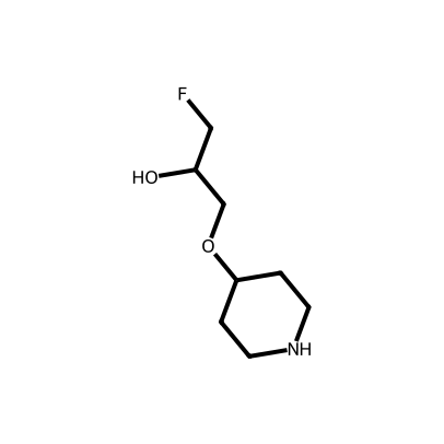 OC(CF)COC1CCNCC1